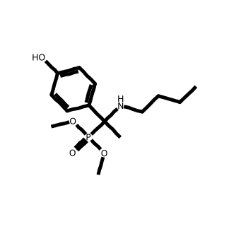 CCCCNC(C)(c1ccc(O)cc1)P(=O)(OC)OC